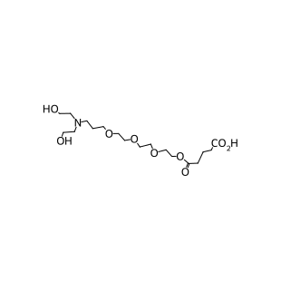 O=C(O)CCCC(=O)OCCOCCOCCOCCCN(CCO)CCO